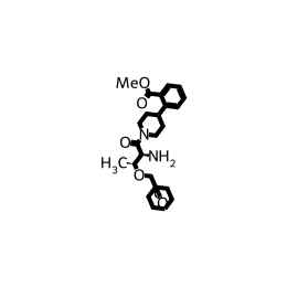 COC(=O)c1ccccc1C1CCN(C(=O)[C@@H](N)[C@@H](C)OCC23CCC(CC2)OC3)CC1